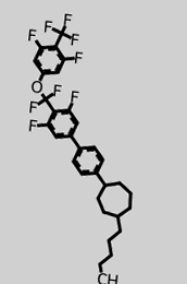 CCCCCC1CCCC(c2ccc(-c3cc(F)c(C(F)(F)Oc4cc(F)c(C(F)(F)F)c(F)c4)c(F)c3)cc2)CC1